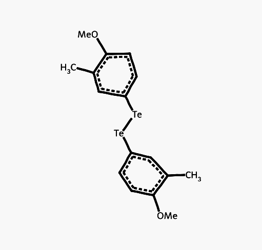 COc1ccc([Te][Te]c2ccc(OC)c(C)c2)cc1C